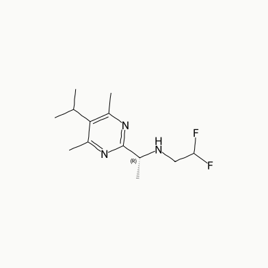 Cc1nc([C@@H](C)NCC(F)F)nc(C)c1C(C)C